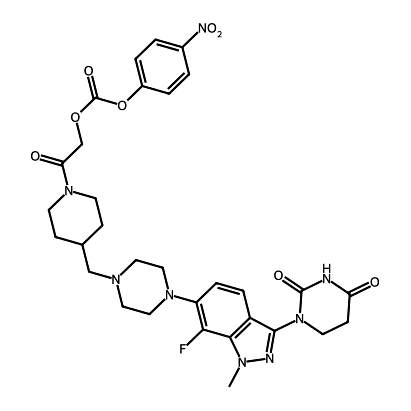 Cn1nc(N2CCC(=O)NC2=O)c2ccc(N3CCN(CC4CCN(C(=O)COC(=O)Oc5ccc([N+](=O)[O-])cc5)CC4)CC3)c(F)c21